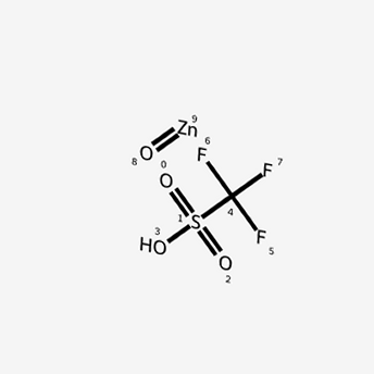 O=S(=O)(O)C(F)(F)F.[O]=[Zn]